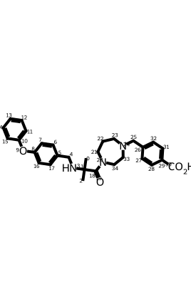 CC(C)(NCc1ccc(Oc2ccccc2)cc1)C(=O)N1CCCN(Cc2ccc(C(=O)O)cc2)CC1